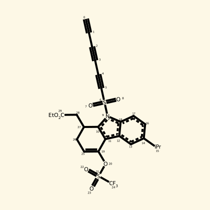 C#CC#CC#CS(=O)(=O)n1c2c(c3cc(C(C)C)ccc31)C(OS(=O)(=O)C(F)(F)F)=CCC2CC(=O)OCC